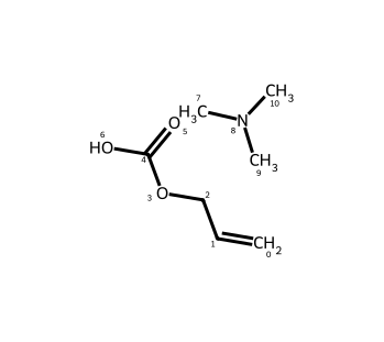 C=CCOC(=O)O.CN(C)C